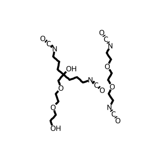 O=C=NCCCC(O)(CCCN=C=O)COCCOCCO.O=C=NCCOCCOCCN=C=O